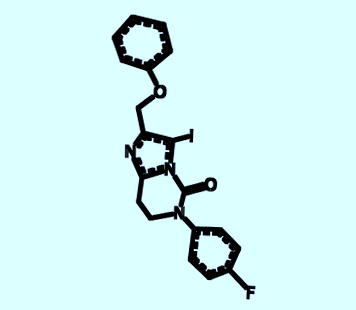 O=C1N(c2ccc(F)cc2)CCc2nc(COc3ccccc3)c(I)n21